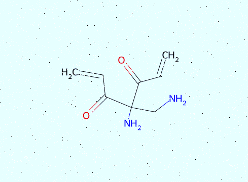 C=CC(=O)C(N)(CN)C(=O)C=C